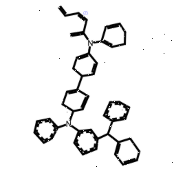 C=C/C=C\C(=C)N(C1=CCCC=C1)C1=CCC(C2=CCC(N(c3ccccc3)c3cccc(C(C4=CC=CCC4)c4ccccc4)c3)C=C2)C=C1